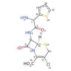 NC(C(=O)NC1C(=O)N2C(C(=O)O)=C(Cl)CS[C@H]12)c1cccs1